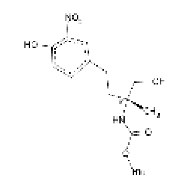 CC(C)(C)OC(=O)N[C@@](C)(CO)CCc1ccc(O)c([N+](=O)[O-])c1